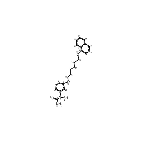 NC(=O)N(S)c1cccc(OCCCCCCOc2cccc3ccccc23)c1